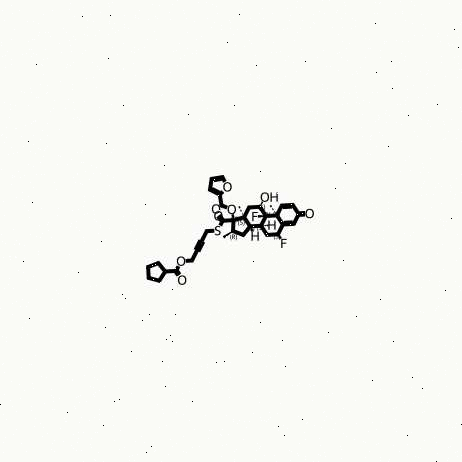 C[C@@H]1C[C@H]2[C@@H]3C[C@H](F)C4=CC(=O)C=C[C@]4(C)[C@@]3(F)[C@@H](O)C[C@]2(C)[C@@]1(OC(=O)c1ccco1)C(=O)SCC#CCOC(=O)C1CCCC1